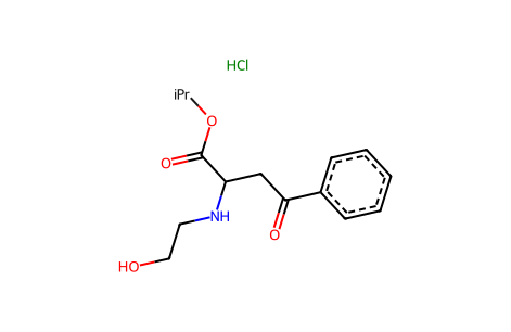 CC(C)OC(=O)C(CC(=O)c1ccccc1)NCCO.Cl